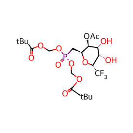 CC(=O)O[C@H]1[C@H](O)[C@H](O)[C@H](C(F)(F)F)O[C@H]1CP(=O)(OCOC(=O)C(C)(C)C)OCOC(=O)C(C)(C)C